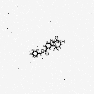 CC1(C)CCNC(=O)c2nc3ccc(C(=O)OCc4ccccc4)cc3n21